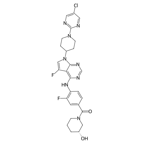 O=C(c1ccc(Nc2ncnc3c2c(F)cn3C2CCN(c3ncc(Cl)cn3)CC2)c(F)c1)N1CCC[C@@H](O)C1